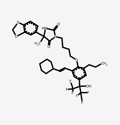 CCCc1cc(C(O)(C(F)(F)F)C(F)(F)F)cc(C=CC2CCCCC2)c1OCCCCN1C(=O)NC(C)(c2ccc3c(c2)OCO3)C1=O